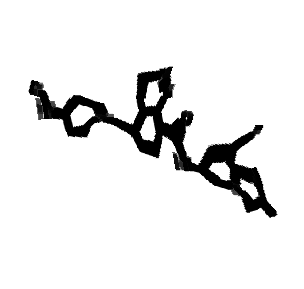 CCNC1CCN(c2ccc(C(=O)Nc3cc(F)c4nc(C)cn4c3)c3nnccc23)CC1